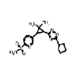 CC1(C)C(c2ccc(S(N)(=O)=O)nc2)C1c1noc(C2CCCC2)n1